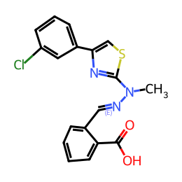 CN(/N=C/c1ccccc1C(=O)O)c1nc(-c2cccc(Cl)c2)cs1